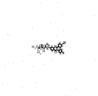 CC(C)(C)OC(=O)N[C@H]1CCCN(c2ccc3c(=O)n(-c4ccc(F)cc4)c(-c4ccc(C#N)cc4)nc3c2)C1